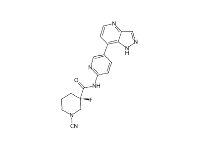 N#CN1CCC[C@](F)(C(=O)Nc2ccc(-c3ccnc4cn[nH]c34)cn2)C1